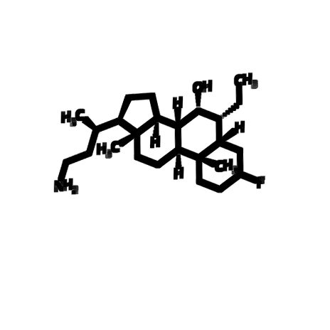 CC[C@H]1[C@@H](O)[C@@H]2[C@H](CC[C@]3(C)[C@@H]([C@H](C)CCN)CC[C@@H]23)[C@@]2(C)CCC(F)C[C@@H]12